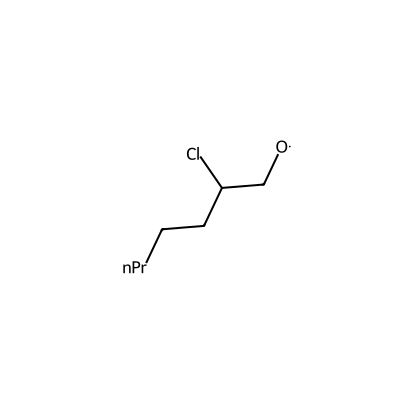 CCCCCC(Cl)C[O]